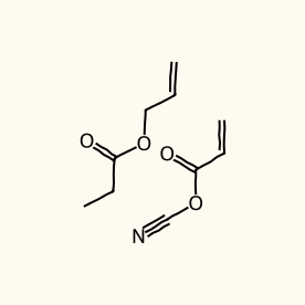 C=CC(=O)OC#N.C=CCOC(=O)CC